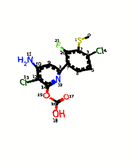 CSc1c(Cl)ccc(-c2cc(N)c(Cl)c(OC(=O)O)n2)c1F